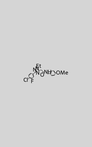 CCn1nc(-c2ccc(Cl)c(F)c2)nc1CC(=O)NCc1ccc(OC)cc1